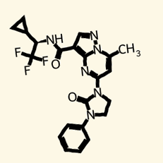 Cc1cc(N2CCN(c3ccccc3)C2=O)nc2c(C(=O)N[C@H](C3CC3)C(F)(F)F)cnn12